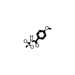 COc1ccc(C(=O)NS(C)(=O)=O)cc1